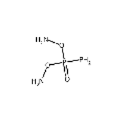 NOP(=O)(P)ON